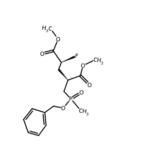 COC(=O)[C@H](C[C@H](F)C(=O)OC)CP(C)(=O)OCc1ccccc1